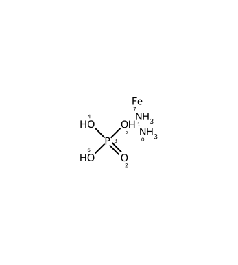 N.N.O=P(O)(O)O.[Fe]